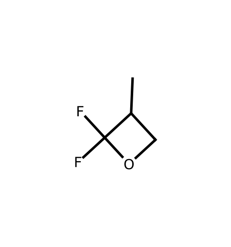 CC1COC1(F)F